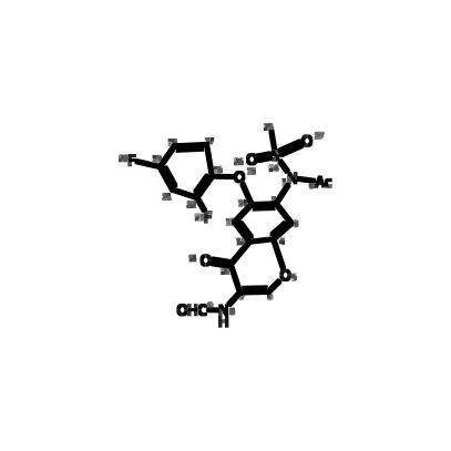 CC(=O)N(c1cc2occ(NC=O)c(=O)c2cc1Oc1ccc(F)cc1F)S(C)(=O)=O